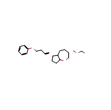 CCOC(=O)CSC[C@H]1CC[C@H]2[C@H](CC[C@@H]2/C=C/[C@@H](O)COc2ccccc2)OC1